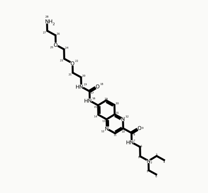 CCN(CC)CCNC(=O)c1cnc2cc(NC(=O)NCCOCCOCCN)ccc2n1